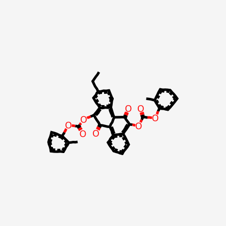 CCc1ccc2c(c1)=C(OC(=O)Oc1ccccc1C)C(=O)C1=c3ccccc3=C(OC(=O)Oc3ccccc3C)C(=O)C=21